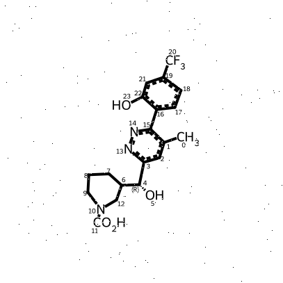 Cc1cc([C@H](O)C2CCCN(C(=O)O)C2)nnc1-c1ccc(C(F)(F)F)cc1O